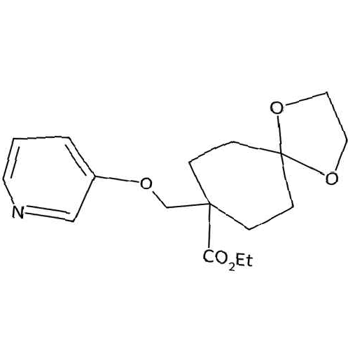 CCOC(=O)C1(COc2cccnc2)CCC2(CC1)OCCO2